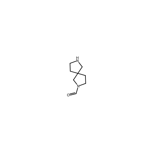 O=CN1CCC2(CCNC2)C1